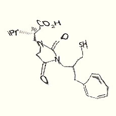 CC(C)[C@H](C(=O)O)N1CC(=O)N(C(CS)Cc2ccccc2)C1=O